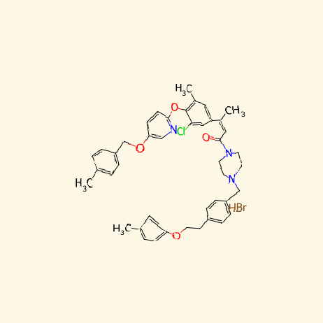 Br.CC(=CC(=O)N1CCN(Cc2ccc(CCOc3ccc(C)cc3)cc2)CC1)c1cc(C)c(Oc2ccc(OCc3ccc(C)cc3)cn2)c(Cl)c1